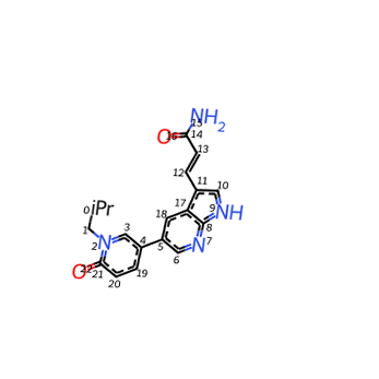 CC(C)Cn1cc(-c2cnc3[nH]cc(C=CC(N)=O)c3c2)ccc1=O